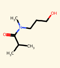 CC(C)C(=O)N(C)CCCO